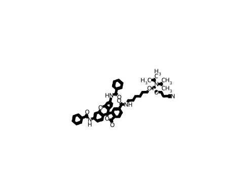 CC(C)N(C(C)C)P(OCCC#N)OCCCCCCNC(=O)c1ccc2c(c1)C1(OC2=O)c2ccc(NC(=O)c3ccccc3)cc2Oc2cc(NC(=O)c3ccccc3)ccc21